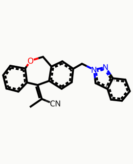 C/C(C#N)=C1/c2ccc(Cn3cc4ccccc4n3)cc2COc2ccccc21